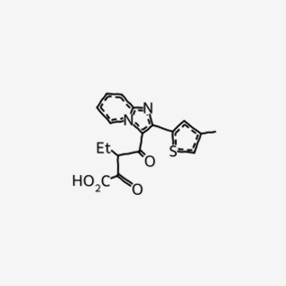 CCC(C(=O)C(=O)O)C(=O)c1c(-c2cc(C)cs2)nc2ccccn12